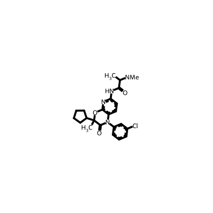 CNC(C)C(=O)Nc1ccc2c(n1)OC(C)(C1CCCC1)C(=O)N2c1cccc(Cl)c1